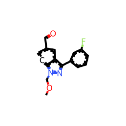 COCn1nc(-c2cccc(F)c2)c2cc(C=O)ccc21